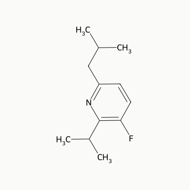 CC(C)Cc1ccc(F)c(C(C)C)n1